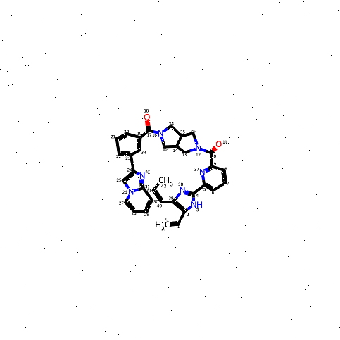 C=Cc1[nH]c(-c2cccc(C(=O)N3CC4CN(C(=O)c5cccc(-c6cn7ccccc7n6)c5)CC4C3)n2)nc1/C=C\C